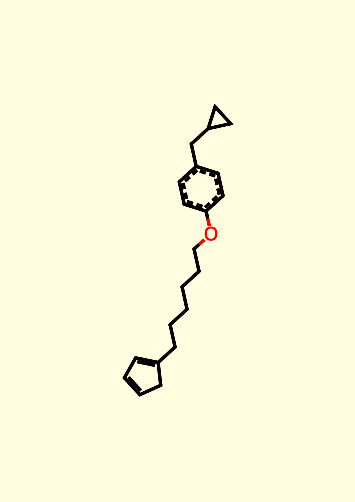 C1=CCC(CCCCCCOc2ccc(CC3CC3)cc2)=C1